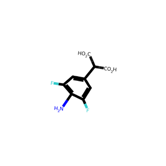 Nc1c(F)cc(C(C(=O)O)C(=O)O)cc1F